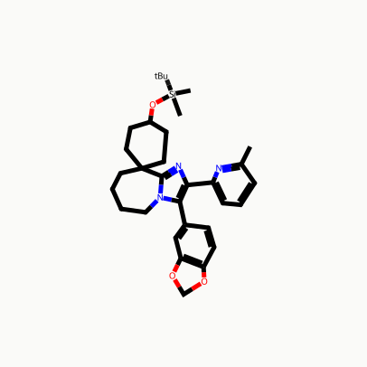 Cc1cccc(-c2nc3n(c2-c2ccc4c(c2)OCO4)CCCCC32CCC(O[Si](C)(C)C(C)(C)C)CC2)n1